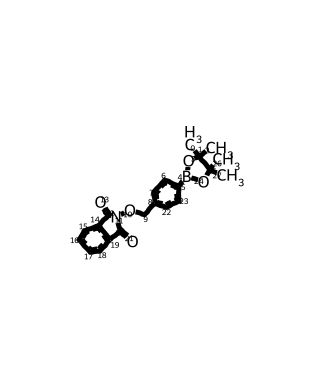 CC1(C)OB(c2ccc(CON3C(=O)c4ccccc4C3=O)cc2)OC1(C)C